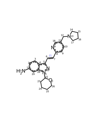 Nc1ccc2c(/C=C/c3ccc(CN4CCCC4)cn3)nn(C3CCCCO3)c2c1